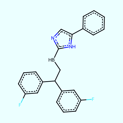 Fc1cccc(C(CBc2ncc(-c3ccccc3)[nH]2)c2cccc(F)c2)c1